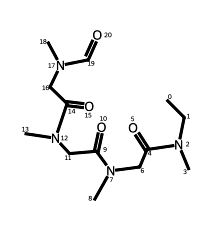 CCN(C)C(=O)CN(C)C(=O)CN(C)C(=O)CN(C)C=O